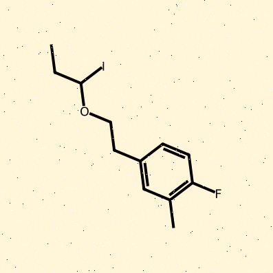 CCC(I)OCCc1ccc(F)c(C)c1